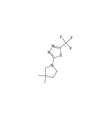 CC1(C)C[CH]N(c2nnc(C(F)(F)F)s2)C1